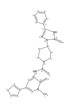 Cn1cc(-c2ccsc2)cc(NC(=O)N2CCC(n3nc(-c4ccccc4)[nH]c3=O)CC2)c1=O